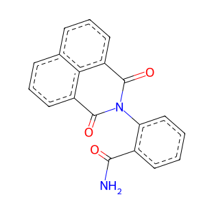 NC(=O)c1ccccc1N1C(=O)c2cccc3cccc(c23)C1=O